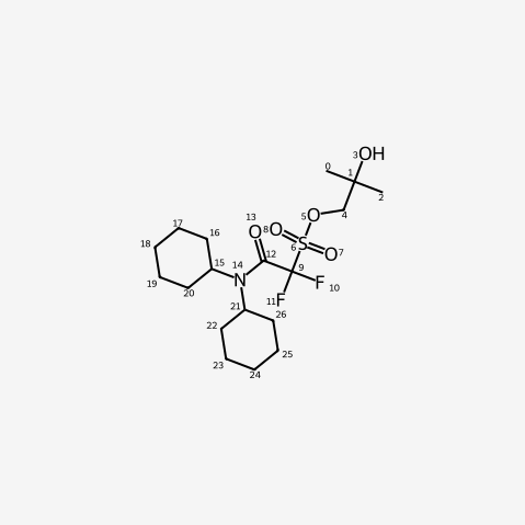 CC(C)(O)COS(=O)(=O)C(F)(F)C(=O)N(C1CCCCC1)C1CCCCC1